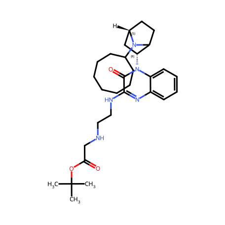 CC(C)(C)OC(=O)CNCCNc1nc2ccccc2n([C@@H]2C[C@@H]3CCC2N3C2CCCCCCC2)c1=O